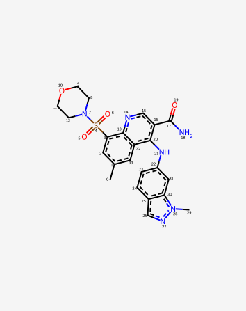 Cc1cc(S(=O)(=O)N2CCOCC2)c2ncc(C(N)=O)c(Nc3ccc4cnn(C)c4c3)c2c1